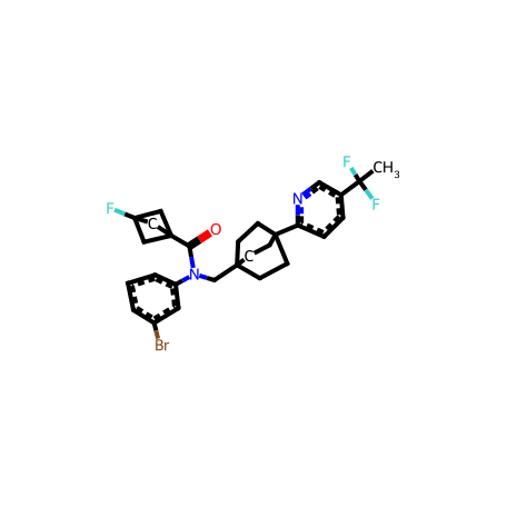 CC(F)(F)c1ccc(C23CCC(CN(C(=O)C45CC(F)(C4)C5)c4cccc(Br)c4)(CC2)CC3)nc1